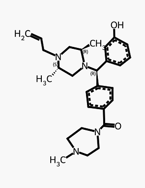 C=CCN1C[C@@H](C)N([C@H](c2ccc(C(=O)N3CCN(C)CC3)cc2)c2cccc(O)c2)C[C@@H]1C